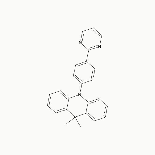 CC1(C)c2ccccc2N(c2ccc(-c3ncccn3)cc2)c2ccccc21